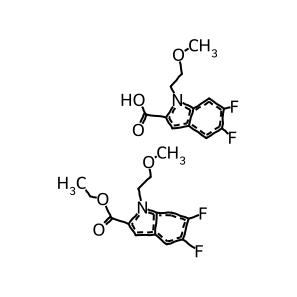 CCOC(=O)c1cc2cc(F)c(F)cc2n1CCOC.COCCn1c(C(=O)O)cc2cc(F)c(F)cc21